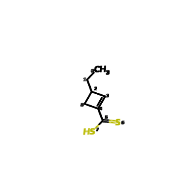 CCC1C=C(C(=S)S)C1